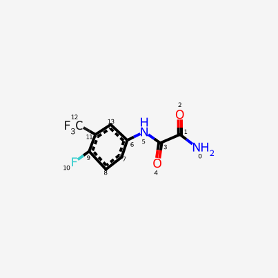 NC(=O)C(=O)Nc1ccc(F)c(C(F)(F)F)c1